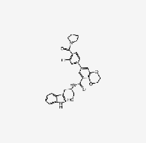 O=C(N[C@@H](CO)Cc1c[nH]c2ccccc12)c1cc(-c2ccc(C(=O)N3CCCC3)c(Cl)c2)cc2c1OCCO2